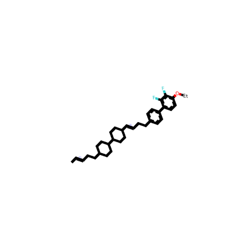 C/C=C/CCC1CCC(C2CCC(/C=C/CCc3ccc(-c4ccc(OCC)c(F)c4F)cc3)CC2)CC1